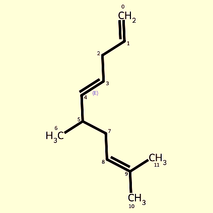 C=CC/C=C/C(C)CC=C(C)C